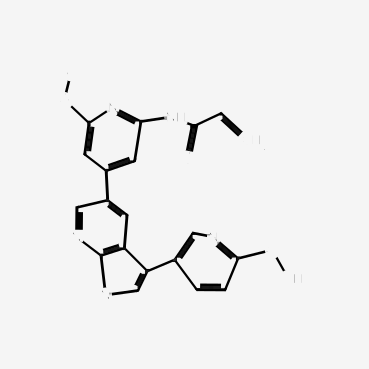 C=CC(=O)Nc1cc(-c2cnc3[nH]cc(-c4ccc(OC)nc4)c3c2)cc(OC)n1